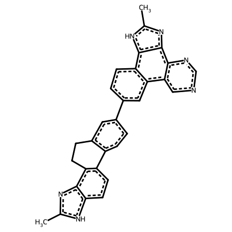 Cc1nc2c3c(ccc2[nH]1)-c1ccc(-c2ccc4c(c2)c2cncnc2c2nc(C)[nH]c42)cc1CC3